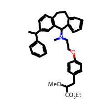 CCOC(=O)C(Cc1ccc(OCCN(C)C2c3ccccc3CCc3ccc(C(C)c4ccccc4)cc32)cc1)OC